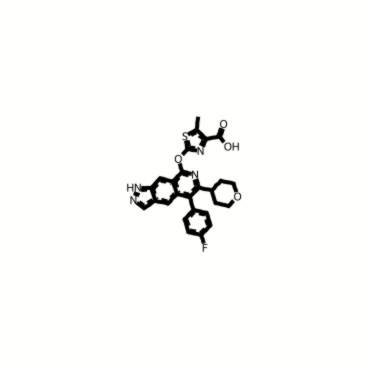 Cc1sc(Oc2nc(C3CCOCC3)c(-c3ccc(F)cc3)c3cc4cn[nH]c4cc23)nc1C(=O)O